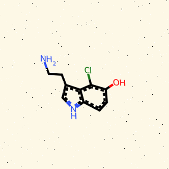 NCCc1c[nH]c2ccc(O)c(Cl)c12